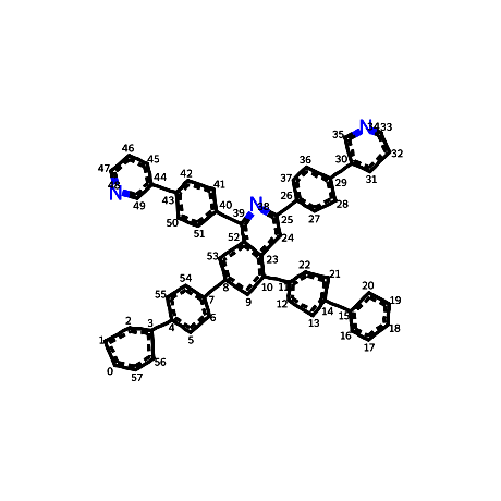 c1ccc(-c2ccc(-c3cc(-c4ccc(-c5ccccc5)cc4)c4cc(-c5ccc(-c6cccnc6)cc5)nc(-c5ccc(-c6cccnc6)cc5)c4c3)cc2)cc1